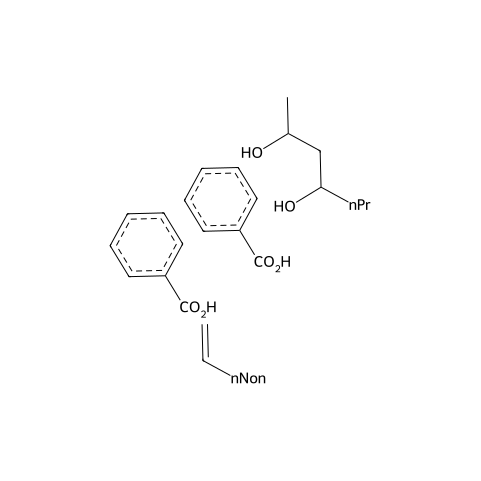 C=CCCCCCCCCC.CCCC(O)CC(C)O.O=C(O)c1ccccc1.O=C(O)c1ccccc1